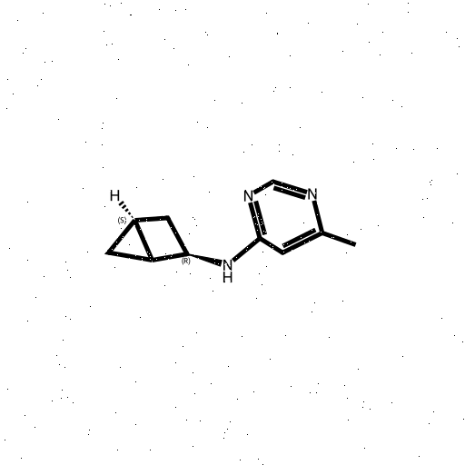 Cc1cc(N[C@@H]2C[C@@H]3CC32)ncn1